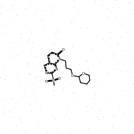 CS(=O)(=O)c1ncc2ccc(=O)n(CCCOC3CCCCO3)c2n1